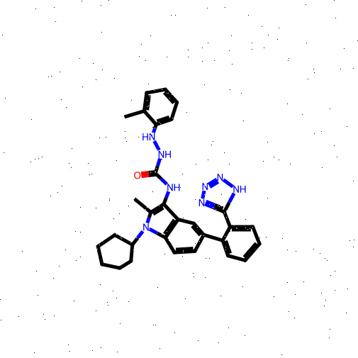 Cc1ccccc1NNC(=O)Nc1c(C)n(C2CCCCC2)c2ccc(-c3ccccc3-c3nnn[nH]3)cc12